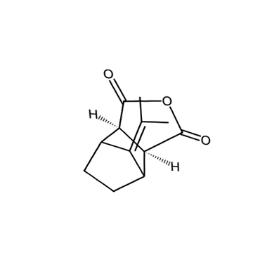 CC(C)=C1C2CCC1[C@@H]1C(=O)OC(=O)[C@H]21